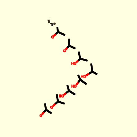 CC(C)O.CC(C)O.CC(C)O.CC(C)O.CC(C)[O-].CC(C)[O-].CC(C)[O-].CC(C)[O-].[Ti+4].[Ti]